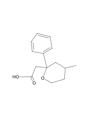 CC1CCOC(CC(=O)O)(c2ccccc2)C1